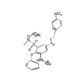 CCCCCCCCCCON(C)S(=O)(=O)c1cc(C(=O)OCc2ccc([N+](=O)[O-])cc2)cc(NCCCC)c1Oc1ccccc1